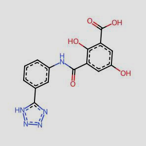 O=C(O)c1cc(O)cc(C(=O)Nc2cccc(-c3nnn[nH]3)c2)c1O